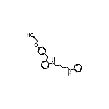 C#CCOc1ccc(Cc2ccccc2NCCCCNc2ccccc2)cc1